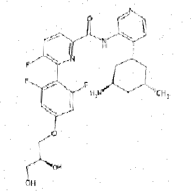 C[C@@H]1C[C@@H](N)C[C@H](c2ccncc2NC(=O)c2ccc(F)c(-c3c(F)cc(OC[C@@H](O)CO)cc3F)n2)C1